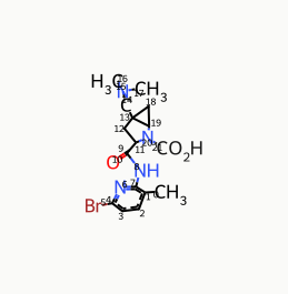 Cc1ccc(Br)nc1NC(=O)C1CC2(CN(C)C)CC2N1C(=O)O